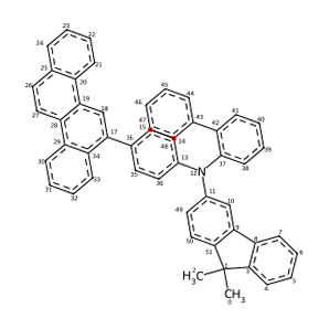 CC1(C)c2ccccc2-c2cc(N(c3ccc(-c4cc5c6ccccc6ccc5c5ccccc45)cc3)c3ccccc3-c3ccccc3)ccc21